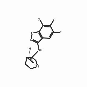 Fc1cc2c(N[C@H]3CN4CCC3CC4)noc2c(Cl)c1Cl